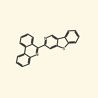 c1ccc2c(c1)nc(-c1cc3sc4ccccc4c3cn1)c1ccccc12